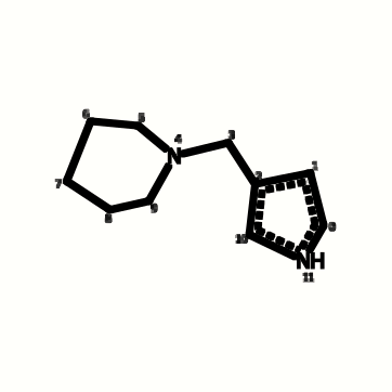 c1cc(CN2CCCCC2)c[nH]1